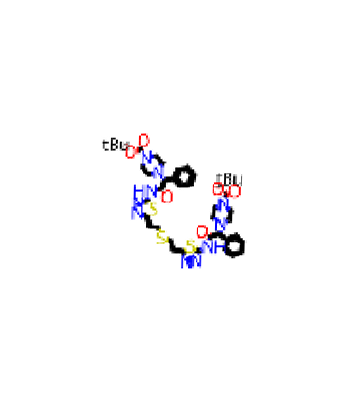 CC(C)(C)OC(=O)N1CCN(C(C(=O)Nc2nnc(CCSCCc3nnc(NC(=O)C(c4ccccc4)N4CCN(C(=O)OC(C)(C)C)CC4)s3)s2)c2ccccc2)CC1